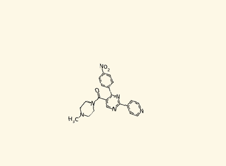 CN1CCN(C(=O)c2cnc(-c3ccncc3)nc2-c2ccc([N+](=O)[O-])cc2)CC1